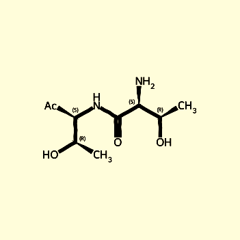 CC(=O)[C@@H](NC(=O)[C@@H](N)[C@@H](C)O)[C@@H](C)O